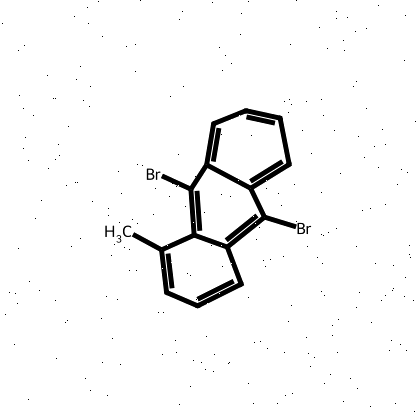 Cc1cccc2c(Br)c3ccccc3c(Br)c12